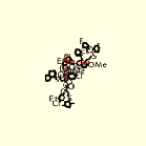 CCc1cc(OC(CCSc2cc(C)ccc2C)C(=O)OC(=O)C(CC(OC(=O)C(CC(OC(=O)C(CC(OC(=O)CCCSc2ccc(C)cc2Oc2ccc(F)cc2)Sc2ccccc2CC)Oc2ccc(OC)cc2)Sc2ccccc2CC)Oc2ccc(Cl)cc2)Sc2cccc3ccccc23)Oc2ccc(Cl)cc2OC)ccc1Cl